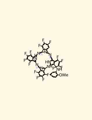 COc1ccccc1NC1(F)C(F)=C(F)C(F)=c2c1c1[nH]/c2=N\C2=NC(=N\c3[nH]c(c4c(F)c(F)c(F)c(F)c34)/N=C3\N=C(N1)c1c(F)c(F)c(F)c(F)c13)/c1c2cc(F)c(F)c1F